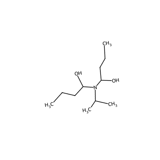 CCCC(O)N(C(C)C)C(O)CCC